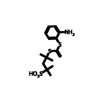 C=C(Sc1ccccc1N)SC(C)(C)CC(C)(C)S(=O)(=O)O